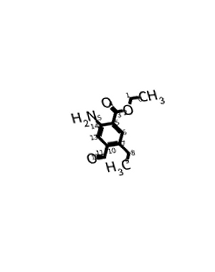 CCOC(=O)c1cc(CC)c(C=O)cc1N